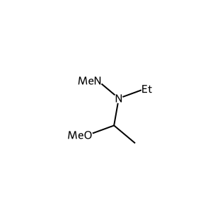 CCN(NC)C(C)OC